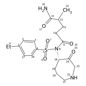 CCc1ccc(S(=O)(=O)N(C(=O)[CH]CC(C)C(N)=O)[C@H]2CCCNCC2=O)cc1